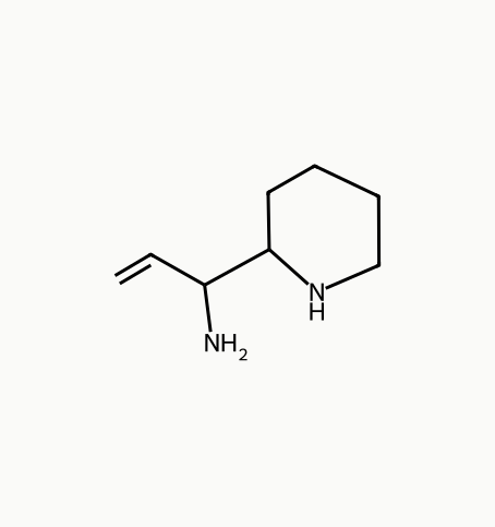 C=CC(N)C1CCCCN1